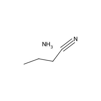 CCCC#N.N